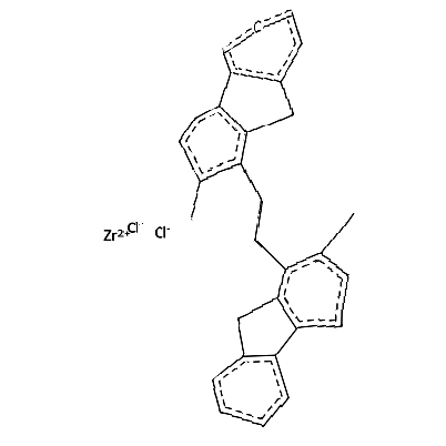 Cc1ccc2c(c1CCc1c(C)ccc3c1Cc1ccccc1-3)Cc1ccccc1-2.[Cl-].[Cl-].[Zr+2]